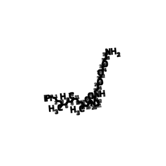 CC(C)CCCC(C)CCCC(C)CCCC(C)CC(=O)N1CCCC1C(=O)NCCCOCCOCCOCCCN